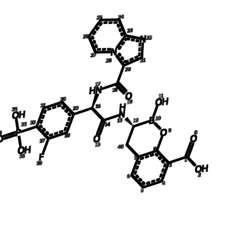 O=C(O)c1cccc2c1OB(O)[C@@H](NC(=O)[C@H](NC(=O)c1cnc3ccccn13)c1ccc(P(=O)(O)O)c(F)c1)C2